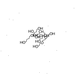 CC(O)CCO.CC(O)CO.OCCCCO.OCCCO.OCCOCCOCCO